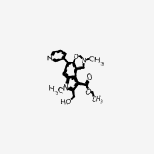 CCOC(=O)c1c(CO)n(C)c2cc(-c3cccnc3)c3c(c12)CN(C)CO3